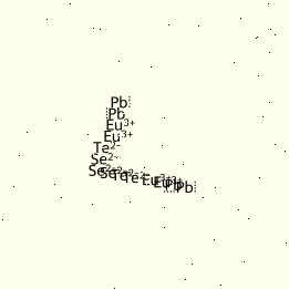 [Eu+3].[Eu+3].[Eu+3].[Eu+3].[Pb].[Pb].[Pb].[Pb].[Se-2].[Se-2].[Se-2].[Te-2].[Te-2].[Te-2]